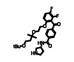 CC(C)(C)OCCC(C)(C)OCCOc1ccc(F)c(F)c1C(=O)c1ccc(C(=O)N[C@H]2CCNC2)cc1